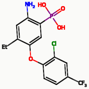 CCc1cc(N)c(P(=O)(O)O)cc1Oc1ccc(C(F)(F)F)cc1Cl